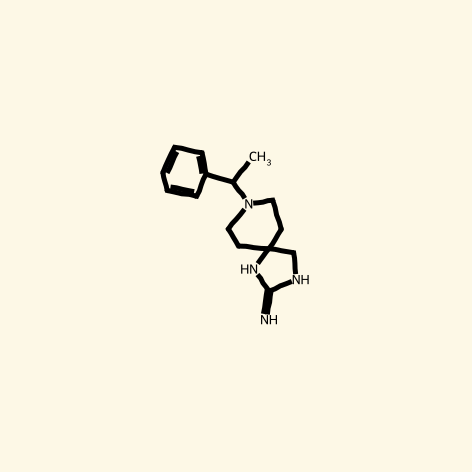 CC(c1ccccc1)N1CCC2(CC1)CNC(=N)N2